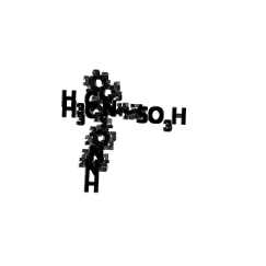 CC1(C)c2c(ccc3ccccc23)N(CCCCS(=O)(=O)O)C1/C=C/c1ccc(N2CCNCC2)cc1